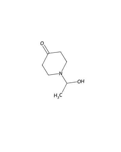 CC(O)N1CCC(=O)CC1